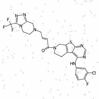 O=C(C=CCN1CCn2c(nnc2C(F)(F)F)C1)N1CCc2c(sc3ncnc(Nc4ccc(F)c(Cl)c4)c23)C1